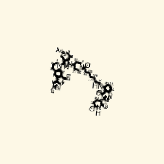 CC(=O)N1CCc2c(c(N3CCCc4cc(-c5cnn(C)c5)c(C(F)F)cc43)nn2C2CCN(C(=O)CCCCCCNc3cccc4nnn(C5CCC(=O)NC5=O)c(=O)c34)CC2)C1